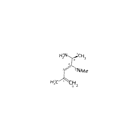 C=C(C)/C=C(\NC)[C@H](C)N